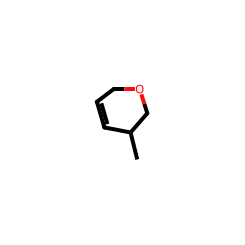 CC1C=CCOC1